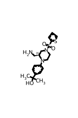 CC(C)(O)c1ccc(N2CCN(S(=O)(=O)c3cccs3)C[C@@H]2CN)cc1